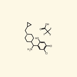 NC(c1cc(Cl)c(Cl)cc1O)C1CCN(CC2CC2)CC1.O=C(O)C(F)(F)F